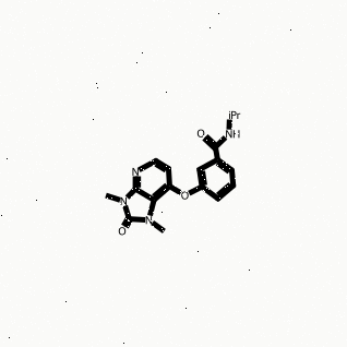 CC(C)NC(=O)c1cccc(Oc2ccnc3c2n(C)c(=O)n3C)c1